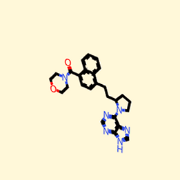 O=C(c1ccc(CCC2CCCN2c2ncnc3[nH]cnc23)c2ccccc12)N1CCOCC1